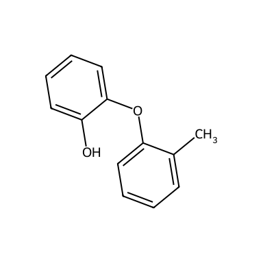 Cc1ccccc1Oc1ccccc1O